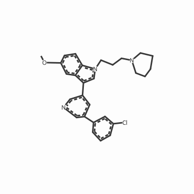 COc1ccc2c(c1)c(-c1cncc(-c3cccc(Cl)c3)c1)cn2CCCN1CCCCC1